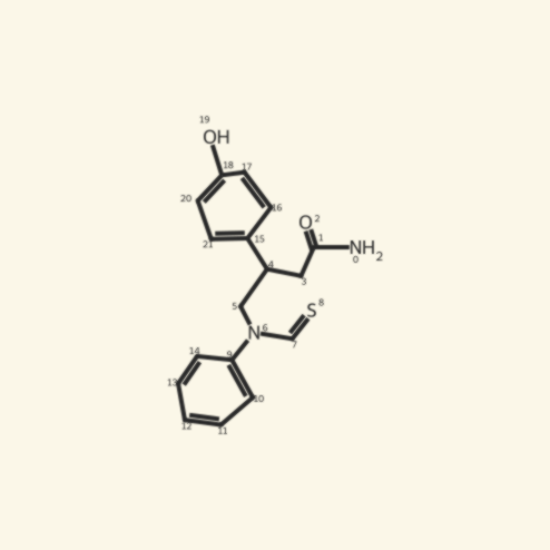 NC(=O)CC(CN(C=S)c1ccccc1)c1ccc(O)cc1